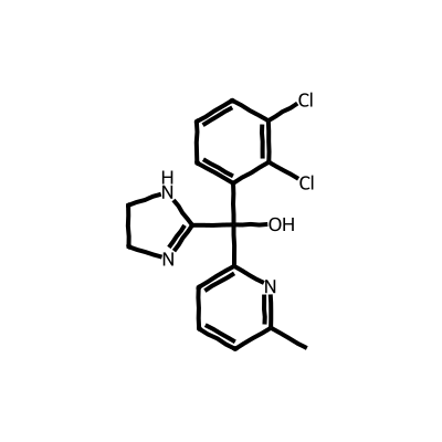 Cc1cccc(C(O)(C2=NCCN2)c2cccc(Cl)c2Cl)n1